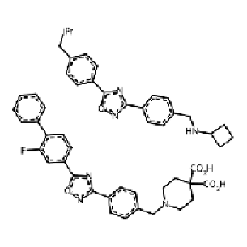 CC(C)Cc1ccc(-c2nc(-c3ccc(CNC4CCC4)cc3)no2)cc1.O=C(O)C1(C(=O)O)CCN(Cc2ccc(-c3noc(-c4ccc(-c5ccccc5)c(F)c4)n3)cc2)CC1